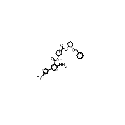 Cn1cc(-c2cnc(N)c(C(=O)N[C@@H]3CCN(C(=O)O[C@H]4CCC[C@@H]4OCc4ccccc4)C3)c2)cn1